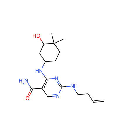 C=CCCNc1ncc(C(N)=O)c(NC2CCC(C)(C)C(O)C2)n1